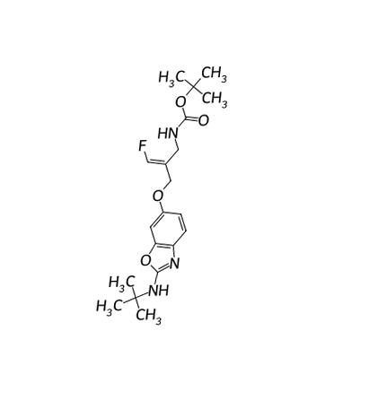 CC(C)(C)Nc1nc2ccc(OCC(=CF)CNC(=O)OC(C)(C)C)cc2o1